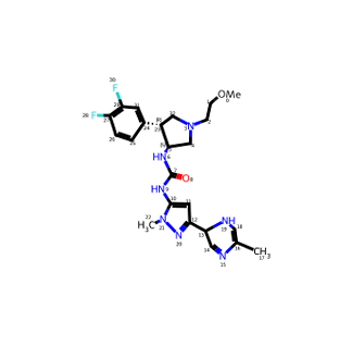 COCCN1C[C@@H](NC(=O)Nc2cc(C3C=NC(C)=CN3)nn2C)[C@H](c2ccc(F)c(F)c2)C1